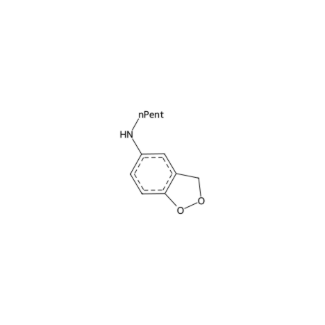 CCCCCNc1ccc2c(c1)COO2